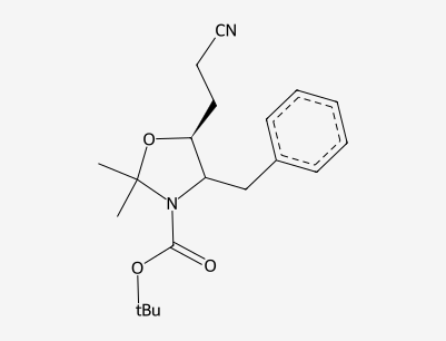 CC(C)(C)OC(=O)N1C(Cc2ccccc2)[C@H](CCC#N)OC1(C)C